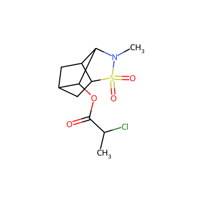 CC(Cl)C(=O)OC1C2CC3C1N(C)S(=O)(=O)C3C2